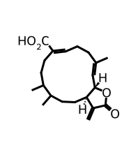 C=C1C(=O)O[C@H]2/C=C(\C)CC/C=C(\C(=O)O)CCC(C)C(C)CC[C@H]12